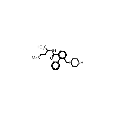 CSCCC(NC(=O)c1cccc(CN2CCNCC2)c1-c1ccccc1)C(=O)O